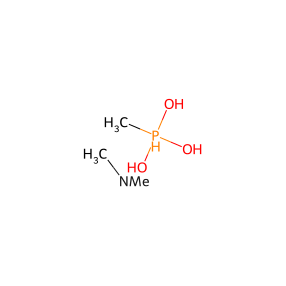 CNC.C[PH](O)(O)O